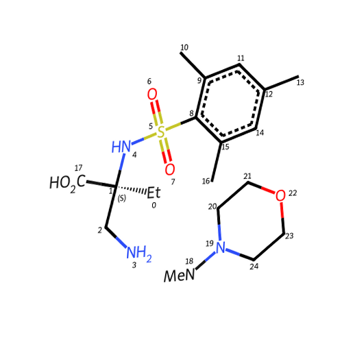 CC[C@@](CN)(NS(=O)(=O)c1c(C)cc(C)cc1C)C(=O)O.CNN1CCOCC1